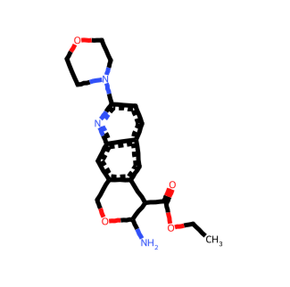 CCOC(=O)C1c2cc3ccc(N4CCOCC4)nc3cc2COC1N